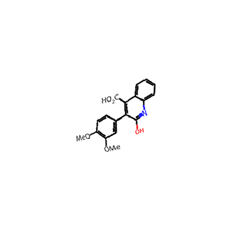 COc1ccc(-c2c(O)nc3ccccc3c2C(=O)O)cc1OC